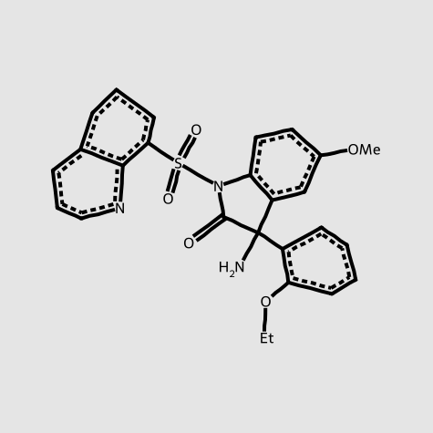 CCOc1ccccc1C1(N)C(=O)N(S(=O)(=O)c2cccc3cccnc23)c2ccc(OC)cc21